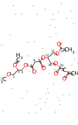 COCC(COC(=O)CC(=O)OC(COC(C)=O)COC(=O)CC(C)=O)OC